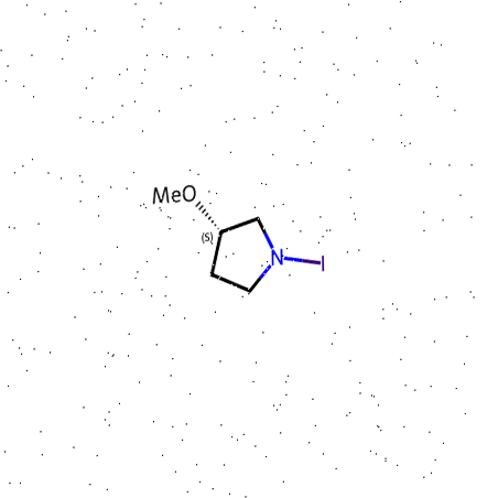 CO[C@H]1CCN(I)C1